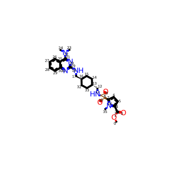 COC(=O)c1ccc(S(=O)(=O)NC[C@H]2CC[C@H](CNc3nc(N(C)C)c4ccccc4n3)CC2)n1C